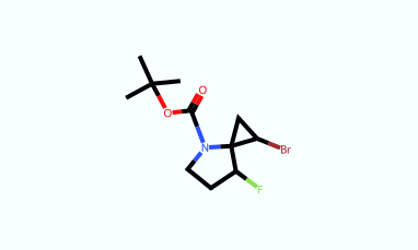 CC(C)(C)OC(=O)N1CCC(F)C12CC2Br